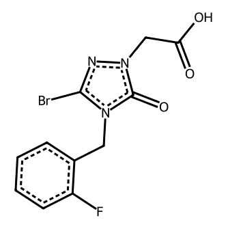 O=C(O)Cn1nc(Br)n(Cc2ccccc2F)c1=O